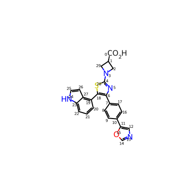 O=C(O)C1CN(c2nc(-c3ccc(-c4cnco4)cc3)c(-c3cccc4[nH]ccc34)s2)C1